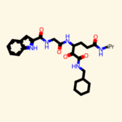 CC(C)NC(=O)CCC(NC(=O)CNC(=O)c1cc2ccccc2[nH]1)C(=O)C(=O)NCC1CCCCC1